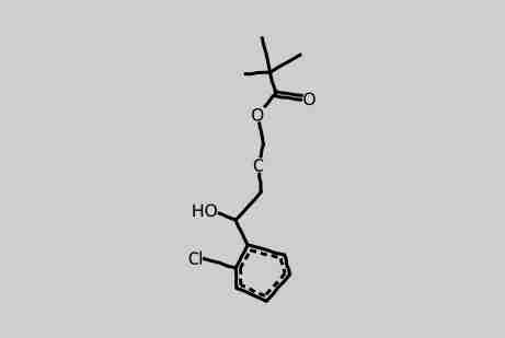 CC(C)(C)C(=O)OCCCC(O)c1ccccc1Cl